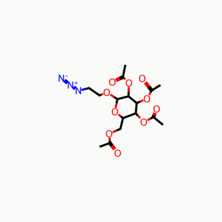 CC(=O)OCC1OC(OCCN=[N+]=[N-])C(OC(C)=O)C(OC(C)=O)C1OC(C)=O